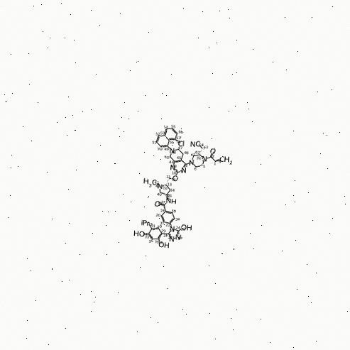 C=CC(=O)N1CCN(c2nc(OC[C@@H]3C[C@@H](NC(=O)c4ccc(-n5c(O)nnc5-c5cc(C(C)C)c(O)cc5O)cc4)CN3C)nc3c2CCN(c2cccc4cccc(Cl)c24)C3)C[C@@H]1CC#N